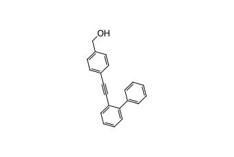 OCc1ccc(C#Cc2ccccc2-c2ccccc2)cc1